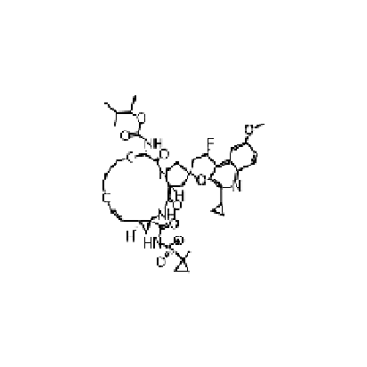 COc1ccc2nc(C3CC3)c3c(c2c1)[C@H](F)C[C@]1(C[C@H]2C(=O)N[C@]4(C(=O)NS(=O)(=O)C5(C)CC5)C[C@H]4/C=C\CCCCC[C@H](NC(=O)OC(C)C(C)C)C(=O)N2C1)O3